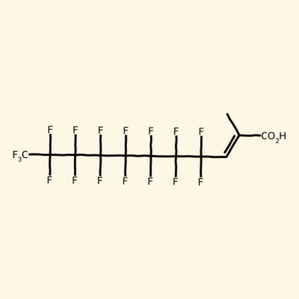 CC(=CC(F)(F)C(F)(F)C(F)(F)C(F)(F)C(F)(F)C(F)(F)C(F)(F)C(F)(F)F)C(=O)O